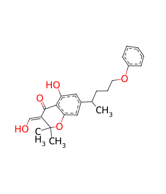 CC(CCCOc1ccccc1)c1cc(O)c2c(c1)OC(C)(C)/C(=C\O)C2=O